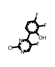 Oc1c(-c2nc(Cl)ncc2F)ccc(F)c1F